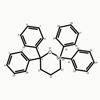 c1ccc(C2(c3ccccc3)CC[CH2][Sn]([c]3ccccc3)([c]3ccccc3)[O]2)cc1